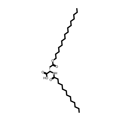 CCCCCCCCCCCCCCCCOC(=O)C[C@H](NC(=O)CCCCCCCCCCCC)C(=O)O